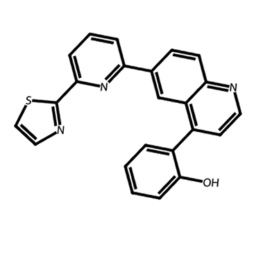 Oc1ccccc1-c1ccnc2ccc(-c3cccc(-c4nccs4)n3)cc12